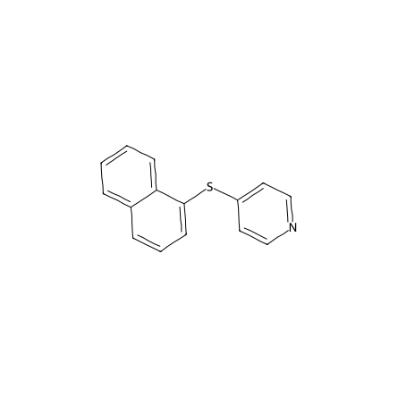 c1ccc2c(Sc3ccncc3)cccc2c1